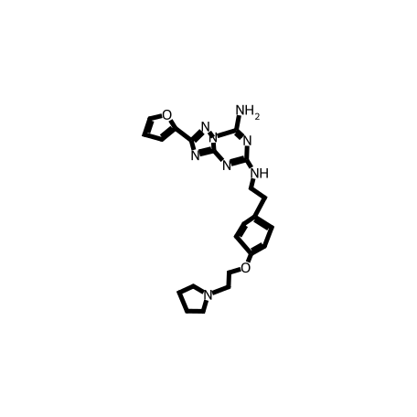 Nc1nc(NCCc2ccc(OCCN3CCCC3)cc2)nc2nc(-c3ccco3)nn12